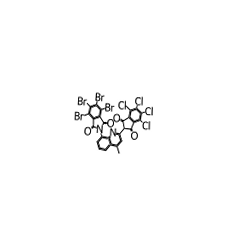 Cc1cc(C2C(=O)c3c(Cl)c(Cl)c(Cl)c(Cl)c3C2=O)nc2c(N3C(=O)c4c(Br)c(Br)c(Br)c(Br)c4C3=O)cccc12